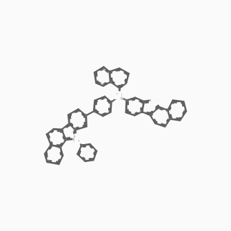 c1ccc(-n2c3cc(-c4ccc(N(c5ccc6c(c5)oc5c7ccccc7ccc65)c5cccc6ccccc56)cc4)ccc3c3ccc4ccccc4c32)cc1